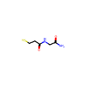 NC(=O)CNC(=O)CCS